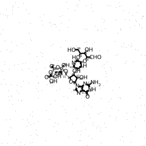 Nc1nc2c(ncn2[C@@H]2O[C@H](COP(=O)(O)OP(=O)(O)OP(=O)(O)O)[C@@H](O)[C@H]2O)c(=O)[nH]1.O=CC(O)C(O)C(O)CO.c1ccncc1